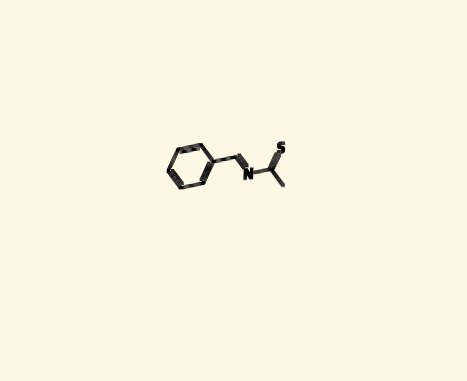 CC(=S)N=Cc1ccccc1